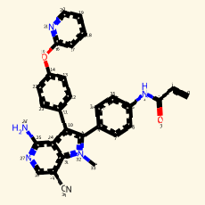 C=CC(=O)Nc1ccc(-c2c(-c3ccc(Oc4ccccn4)cc3)c3c(N)ncc(C#N)c3n2C)cc1